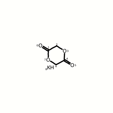 O=C1COC(=O)CO1.[KH]